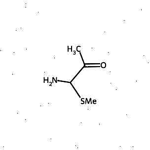 CSC(N)C(C)=O